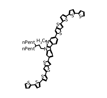 CCCCCC(CCCCC)CCn1c2cc(-c3cc4sc(-c5ccc(-c6ccc(-c7cccs7)s6)s5)cc4s3)ccc2c2c3ccc(-c4cc5sc(-c6ccc(-c7ccc(-c8cccs8)s7)s6)cc5s4)cc3n(C)c21